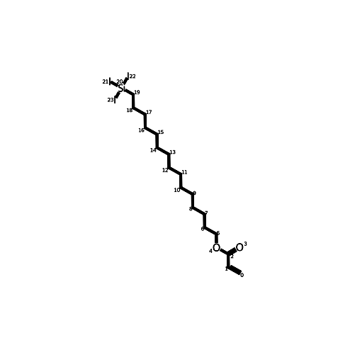 C=CC(=O)OCCCCCCCCCCCCCCC[Si](I)(I)I